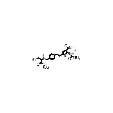 CC(C)CC(NCc1ccc(CCc2cc(C(N)=O)c(NC(N)=O)s2)cc1)C(=O)OC(C)(C)C